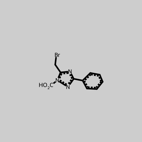 O=C(O)n1nc(-c2ccccc2)nc1CBr